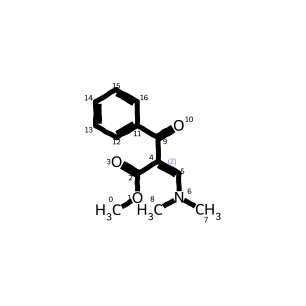 COC(=O)/C(=C\N(C)C)C(=O)c1ccccc1